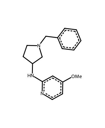 COc1ccnc(NC2CCN(Cc3ccccc3)C2)c1